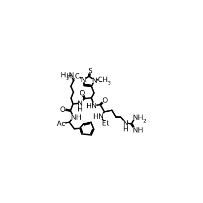 CCNC(CCCNC(=N)N)C(=O)NC(Cc1cn(C)c(=S)n1C)C(=O)NC(CCCCN)C(=O)NC(Cc1ccccc1)C(C)=O